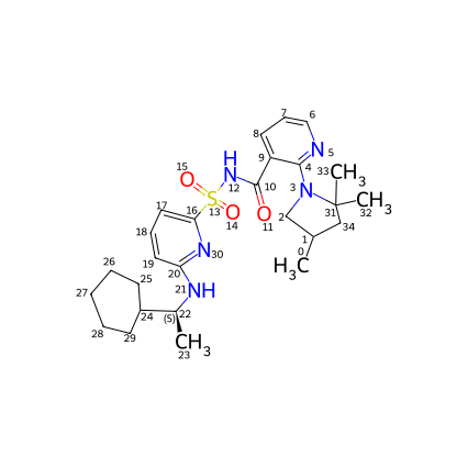 CC1CN(c2ncccc2C(=O)NS(=O)(=O)c2cccc(N[C@@H](C)C3CCCCC3)n2)C(C)(C)C1